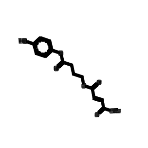 COC(=O)/C=C/C(=O)OCCCC(=O)Oc1ccc(O)cc1